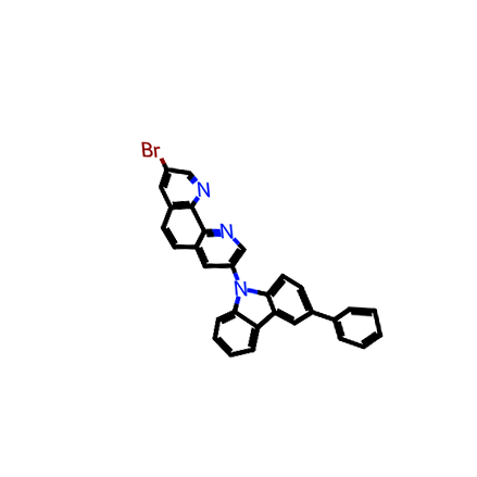 Brc1cnc2c(ccc3cc(-n4c5ccccc5c5cc(-c6ccccc6)ccc54)cnc32)c1